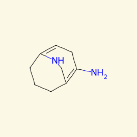 NC1=C2CCCC(=CC1)NC2